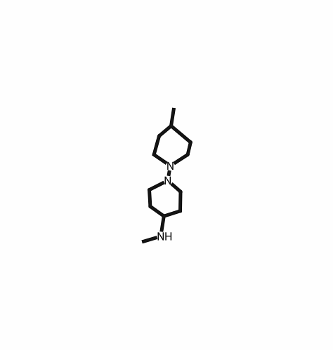 CNC1CCN(N2CCC(C)CC2)CC1